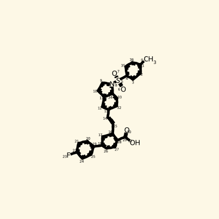 Cc1ccc(S(=O)(=O)n2ccc3cc(/C=C/c4cc(-c5ccc(F)cc5)ccc4C(=O)O)ccc32)cc1